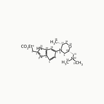 CCOC(=O)Cc1nc2ccc(N3C[C@@H](CN(C)C)OC[C@H]3C)cc2[nH]1